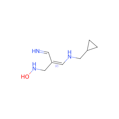 N=C/C(=C\NCC1CC1)CNO